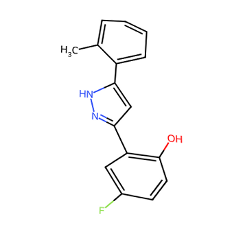 Cc1ccccc1-c1cc(-c2cc(F)ccc2O)n[nH]1